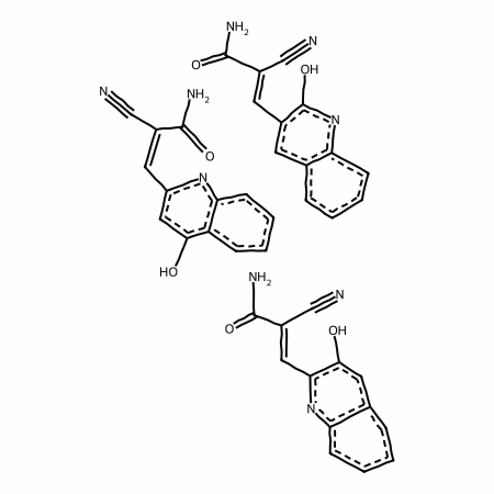 N#CC(=Cc1cc(O)c2ccccc2n1)C(N)=O.N#CC(=Cc1cc2ccccc2nc1O)C(N)=O.N#CC(=Cc1nc2ccccc2cc1O)C(N)=O